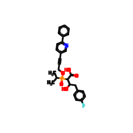 CC(C)P(=O)(OCC#Cc1ccc(-c2ccccc2)nc1)C(C(=O)O)C(O)Cc1ccc(F)cc1